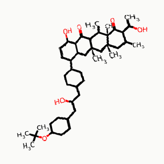 CC(O)C1C(=O)[C@@]2(C)C(C)C3C(=O)C4C(O)CCC(C5CCC(CC(O)CC6CCC(OC(C)(C)C)CC6)CC5)C4C[C@@]3(C)C[C@@]2(C)CC1C